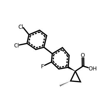 C[C@H]1C[C@]1(C(=O)O)c1ccc(-c2ccc(Cl)c(Cl)c2)c(F)c1